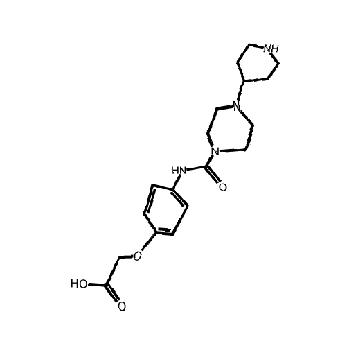 O=C(O)COc1ccc(NC(=O)N2CCN(C3CCNCC3)CC2)cc1